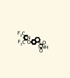 O=C1NC(=O)C([C@H]2CCCc3cc(Oc4ncc(C(F)(F)F)cc4C(F)(F)F)ccc32)S1